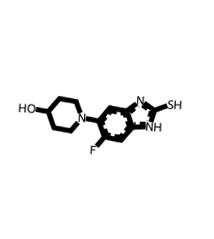 OC1CCN(c2cc3nc(S)[nH]c3cc2F)CC1